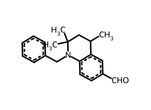 CC1CC(C)(C)N(Cc2ccccc2)c2ccc(C=O)cc21